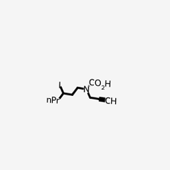 C#CCN(CCC(I)CCC)C(=O)O